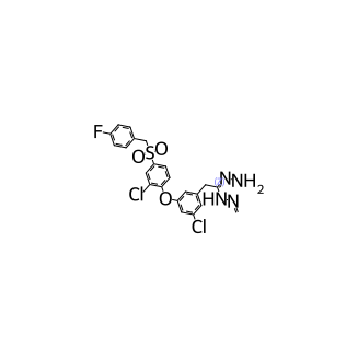 C=NN/C(Cc1cc(Cl)cc(Oc2ccc(S(=O)(=O)Cc3ccc(F)cc3)cc2Cl)c1)=N\N